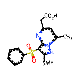 CSc1nn2c(C)cc(CC(=O)O)nc2c1S(=O)(=O)c1ccccc1